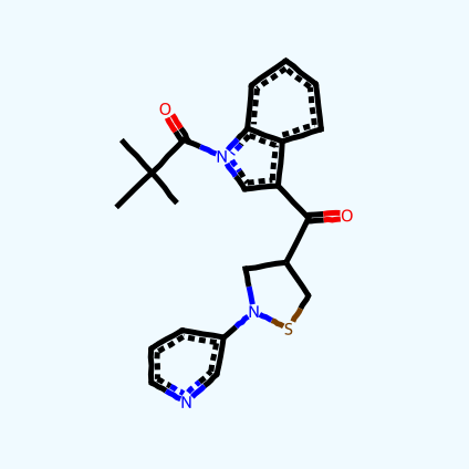 CC(C)(C)C(=O)n1cc(C(=O)C2CSN(c3cccnc3)C2)c2ccccc21